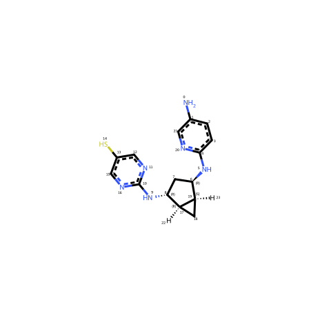 Nc1ccc(N[C@@H]2C[C@@H](Nc3ncc(S)cn3)[C@@H]3C[C@@H]32)nc1